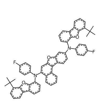 CC(C)(C)c1cccc2c1oc1c(N(c3ccc(F)cc3)c3ccc4c(c3)oc3cc(N(c5ccc(F)cc5)c5cccc6c5oc5c(C(C)(C)C)cccc56)c5ccccc5c34)cccc12